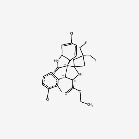 CCOC(=O)[C@@H]1NC2(CC(CF)(CF)C2)[C@@]2(C(=O)NC3C=C(Cl)C=CC32)[C@H]1c1cccc(Cl)c1F